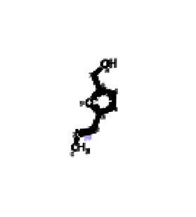 C/N=C/c1ccc(CO)o1